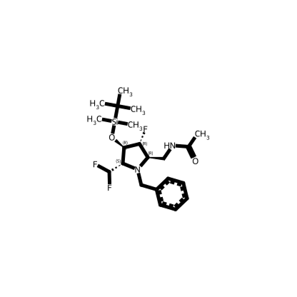 CC(=O)NC[C@@H]1[C@@H](F)[C@H](O[Si](C)(C)C(C)(C)C)[C@@H](C(F)F)N1Cc1ccccc1